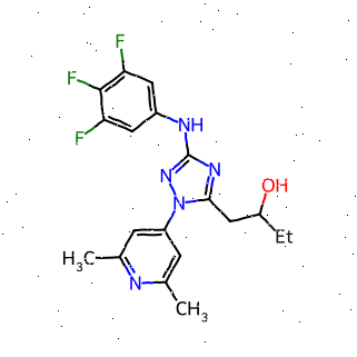 CCC(O)Cc1nc(Nc2cc(F)c(F)c(F)c2)nn1-c1cc(C)nc(C)c1